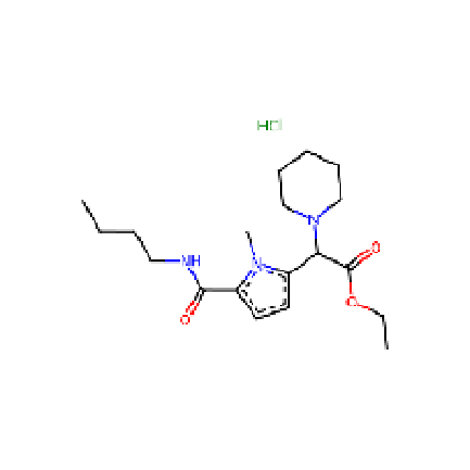 CCCCNC(=O)c1ccc(C(C(=O)OCC)N2CCCCC2)n1C.Cl